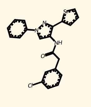 O=C(Cc1cccc(Cl)c1)Nc1cn(-c2ccccc2)nc1-c1cccs1